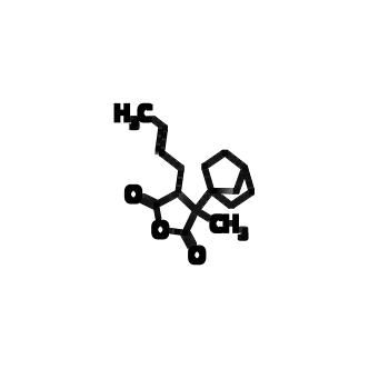 CC=CCC1C(=O)OC(=O)C1(C)C12CCC(CC1)C2